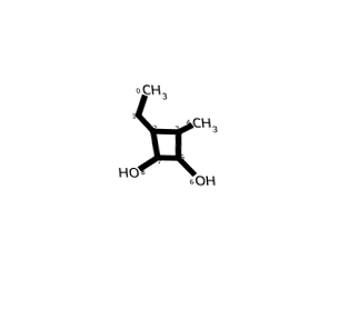 CCC1C(C)C(O)C1O